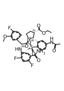 CCOC(=O)[C@H]1CCN(C(=O)[C@H](Nc2cc(C(N)=O)c(F)cc2F)c2ccc(F)c(OC)c2)[C@H]1c1cc(NC(C)=O)ccc1S(C)(=O)=O